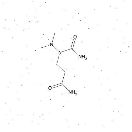 CN(C)N(CCC(N)=O)C(N)=O